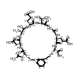 CC(=O)N[C@H]1CSCc2ccccc2CSC[C@@H](C(N)=O)NC(=O)[C@H](CCC(=O)O)NC(=O)CNC(=O)[C@H]([C@H](C)O)NC(=O)[C@H](CCC(=O)O)NC(O)[C@H](C)NC(=O)[C@H](CC(=O)O)NC1=O